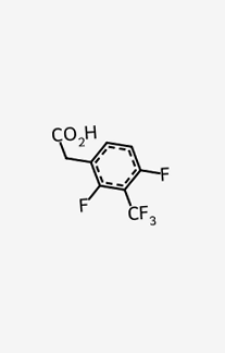 O=C(O)Cc1ccc(F)c(C(F)(F)F)c1F